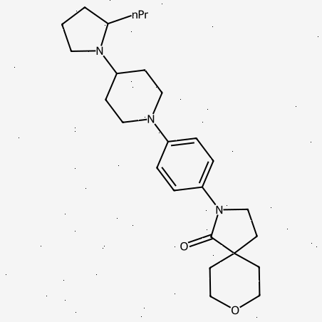 CCCC1CCCN1C1CCN(c2ccc(N3CCC4(CCOCC4)C3=O)cc2)CC1